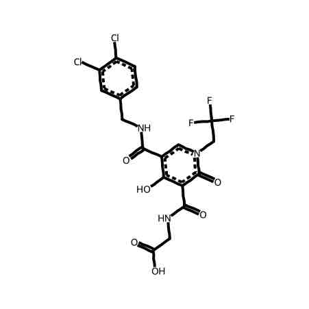 O=C(O)CNC(=O)c1c(O)c(C(=O)NCc2ccc(Cl)c(Cl)c2)cn(CC(F)(F)F)c1=O